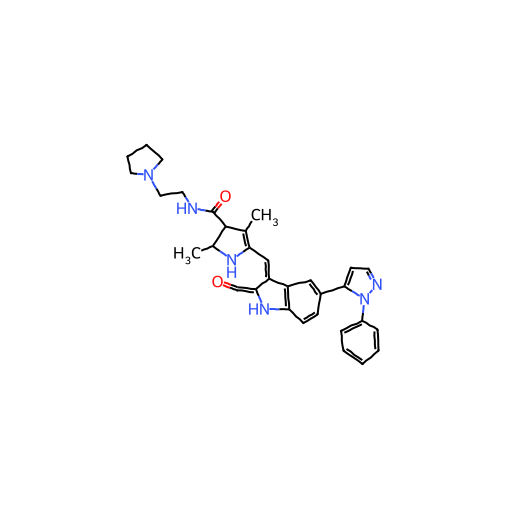 CC1=C(/C=c2\c(=C=O)[nH]c3ccc(-c4ccnn4-c4ccccc4)cc23)NC(C)C1C(=O)NCCN1CCCC1